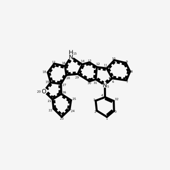 C1=CCCC(n2c3ccccc3c3cc4[nH]c5ccc6oc7ccccc7c6c5c4cc32)=C1